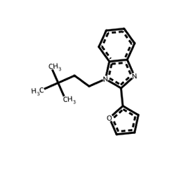 CC(C)(C)CCn1c(-c2ccco2)nc2ccccc21